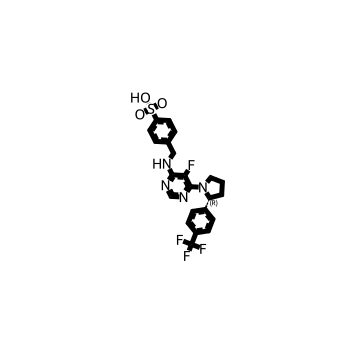 O=S(=O)(O)c1ccc(CNc2ncnc(N3CCC[C@@H]3c3ccc(C(F)(F)F)cc3)c2F)cc1